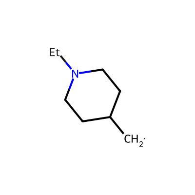 [CH2]C1CCN(CC)CC1